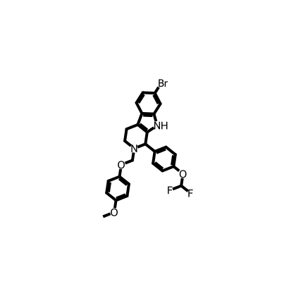 COc1ccc(OCN2CCc3c([nH]c4cc(Br)ccc34)C2c2ccc(OC(F)F)cc2)cc1